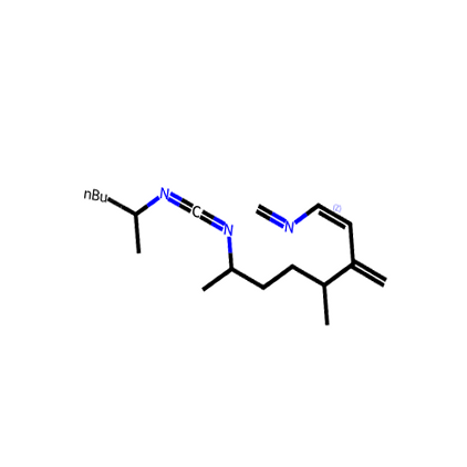 C=N/C=C\C(=C)C(C)CCC(C)N=C=NC(C)CCCC